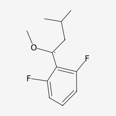 CO[C](CC(C)C)c1c(F)cccc1F